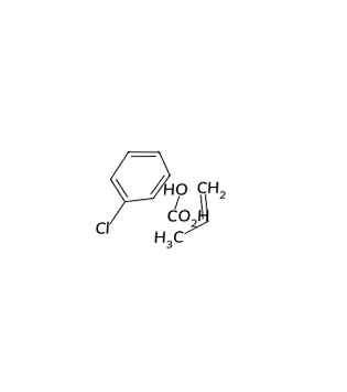 C=CC.Clc1ccccc1.O=C(O)O